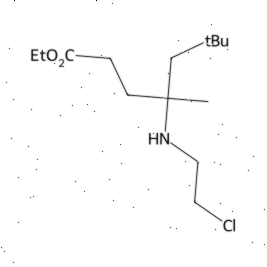 CCOC(=O)CCC(C)(CC(C)(C)C)NCCCl